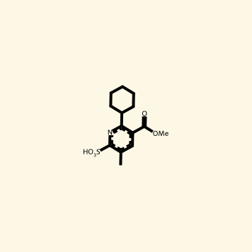 COC(=O)c1cc(C)c(S(=O)(=O)O)nc1C1CCCCC1